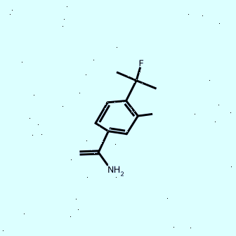 C=C(N)c1ccc(C(C)(C)F)c(C)c1